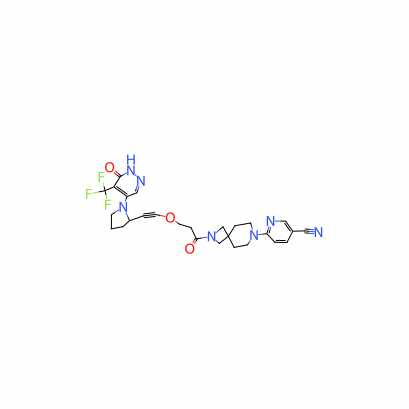 N#Cc1ccc(N2CCC3(CC2)CN(C(=O)CCOC#CC2CCCN2c2cn[nH]c(=O)c2C(F)(F)F)C3)nc1